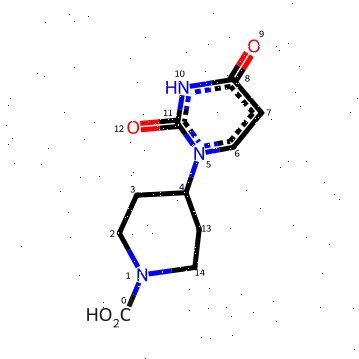 O=C(O)N1CCC(n2ccc(=O)[nH]c2=O)CC1